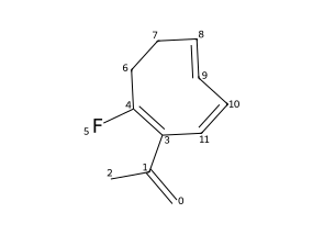 C=C(C)C1=C(\F)CC/C=C/C=C\1